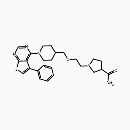 NC(=O)C1CCN(CCOCC2CCN(c3ncnc4scc(-c5ccccc5)c34)CC2)C1